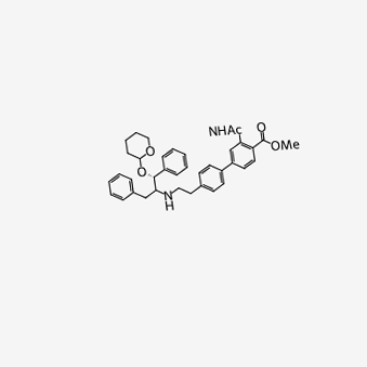 COC(=O)c1ccc(-c2ccc(CCNC(Cc3ccccc3)[C@H](OC3CCCCO3)c3ccccc3)cc2)cc1NC(C)=O